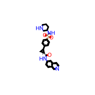 O=C(Nc1ccc2cnccc2c1)[C@@H]1CC1c1ccc(S(=O)(=O)NC2CCCNC2)cc1